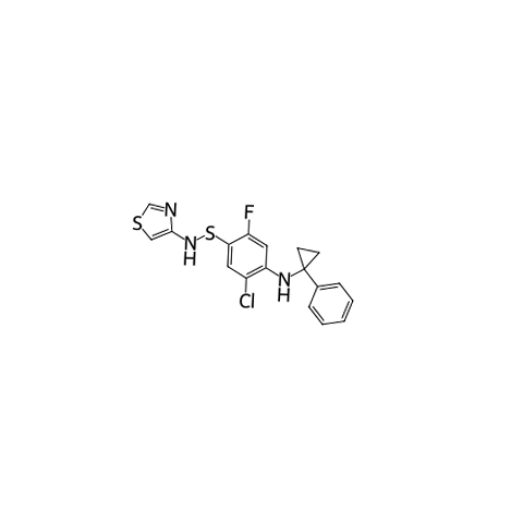 Fc1cc(NC2(c3ccccc3)CC2)c(Cl)cc1SNc1cscn1